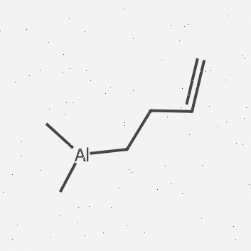 C=CC[CH2][Al]([CH3])[CH3]